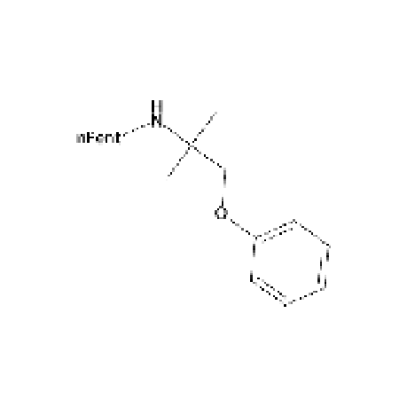 CCCCCNC(C)(C)COc1ccccc1